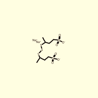 CC(CCS(=O)(=O)[O-])SSSC(C)CCS(=O)(=O)[O-].[Na+].[Na+]